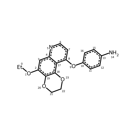 CCOc1cc2nccc(Oc3ccc(N)cc3)c2c2c1OCCO2